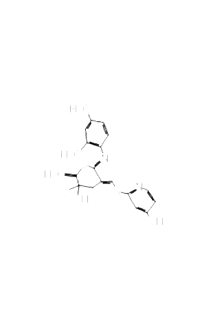 C=C1SC(=N\c2ccc(C)cc2C)/C(=C/Sc2cc(C)ccn2)CC1(C)C